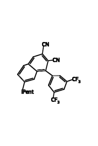 CCCC(C)c1ccc2cc(C#N)c(C#N)c(-c3cc(C(F)(F)F)cc(C(F)(F)F)c3)c2c1